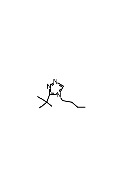 CCCCn1cnnc1C(C)(C)C